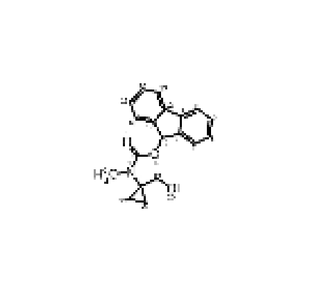 CN(C(=O)OC1c2ccccc2-c2ccccc21)C1(CO)CC1